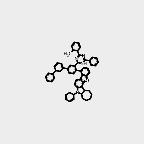 CC1C=CC=CC1C1=NC(c2cc(C3=CC=CC(c4ccccc4)C3)ccc2-c2cccc3oc4c5c(ccc4c23)N(C2C=CC=CC2)C2CCCCCC52)NC(c2ccccc2)=N1